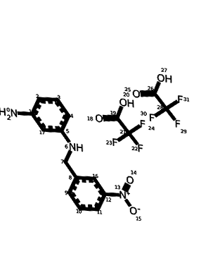 Nc1cccc(NCc2cccc([N+](=O)[O-])c2)c1.O=C(O)C(F)(F)F.O=C(O)C(F)(F)F